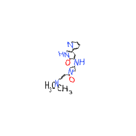 CN(C)C/C=C/C(=O)N1CC(Nc2cc(-c3ccccn3)c[nH]c2=O)C1